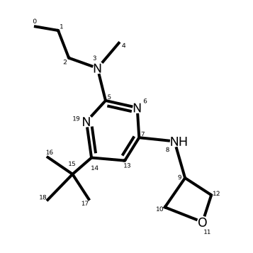 CCCN(C)c1nc(NC2COC2)cc(C(C)(C)C)n1